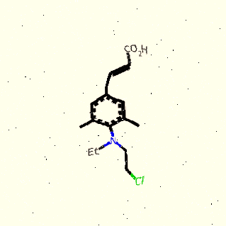 CCN(CCCl)c1c(C)cc(C=CC(=O)O)cc1C